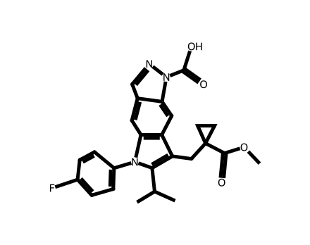 COC(=O)C1(Cc2c(C(C)C)n(-c3ccc(F)cc3)c3cc4cnn(C(=O)O)c4cc23)CC1